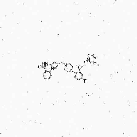 CN(C)CCOc1cc(F)ccc1N1CCN(Cc2cc3[nH]c(=O)c4ccccc4n3c2)CC1